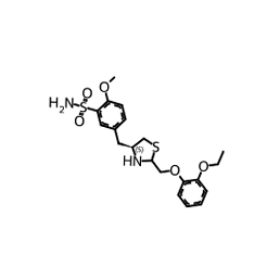 CCOc1ccccc1OCC1N[C@@H](Cc2ccc(OC)c(S(N)(=O)=O)c2)CS1